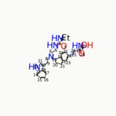 CCNC(=O)NCCN(CCc1c[nH]c2ccccc12)C1CCc2cc(/C=C/C(=O)NO)ccc21